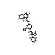 CCN1C[C@H](CNc2cc(C)nc3ccccc23)CC[C@H]1CNS(=O)(=O)c1ccccc1